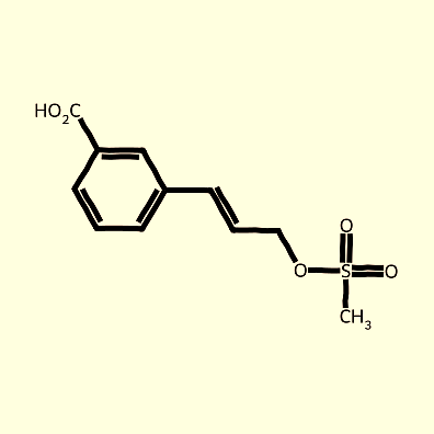 CS(=O)(=O)OCC=Cc1cccc(C(=O)O)c1